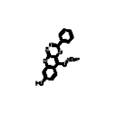 CCCCCCCCCCOc1c(OC(=O)c2ccccc2)c(=O)oc2cc(O)ccc12